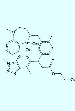 Cc1ccc(C(CC(=O)OCCO)c2ccc3c(nnn3C)c2C)cc1CN1CCN(C)c2ccccc2S1(O)O